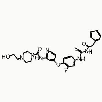 O=C(Cc1ccccc1)NC(=S)Nc1ccc(Oc2ccnc(NC(=O)N3CCN(CCO)CC3)c2)c(F)c1